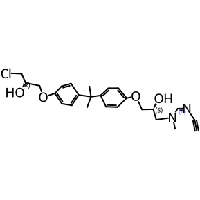 C#C/N=C\N(C)C[C@H](O)COc1ccc(C(C)(C)c2ccc(OC[C@@H](O)CCl)cc2)cc1